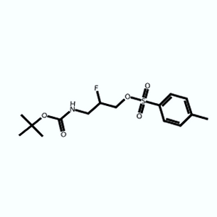 Cc1ccc(S(=O)(=O)OCC(F)CNC(=O)OC(C)(C)C)cc1